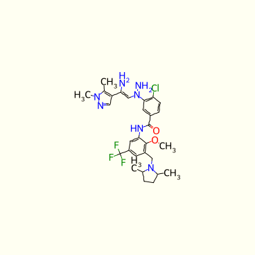 COc1c(CN2C(C)CCC2C)cc(C(F)(F)F)cc1NC(=O)c1ccc(Cl)c(N(N)/C=C(\N)c2cnn(C)c2C)c1